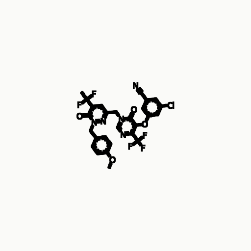 COc1ccc(Cn2nc(Cn3cnc(C(F)(F)F)c(Oc4cc(Cl)cc(C#N)c4)c3=O)cc(C(C)(F)F)c2=O)cc1